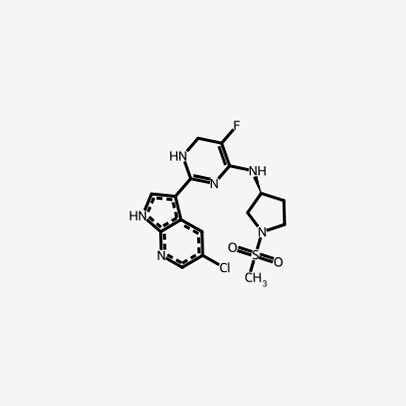 CS(=O)(=O)N1CC[C@H](NC2=C(F)CNC(c3c[nH]c4ncc(Cl)cc34)=N2)C1